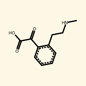 CNCCc1ccccc1C(=O)C(=O)O